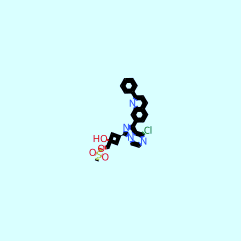 CS(=O)(=O)OC[C@]1(O)C[C@H](c2nc(-c3ccc4ccc(-c5ccccc5)nc4c3)c3c(Cl)nccn32)C1